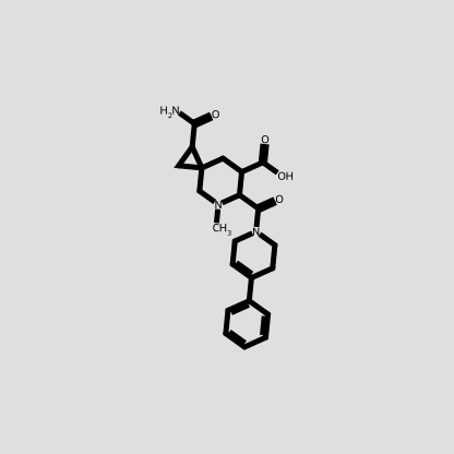 CN1CC2(CC(C(=O)O)C1C(=O)N1CC=C(c3ccccc3)CC1)CC2C(N)=O